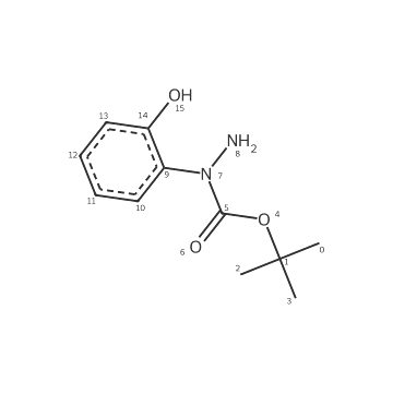 CC(C)(C)OC(=O)N(N)c1ccccc1O